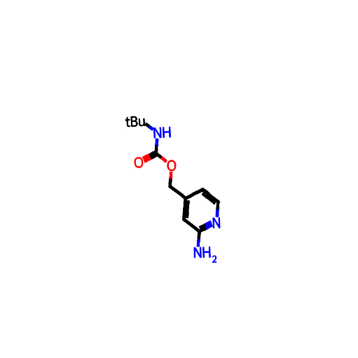 CC(C)(C)NC(=O)OCc1ccnc(N)c1